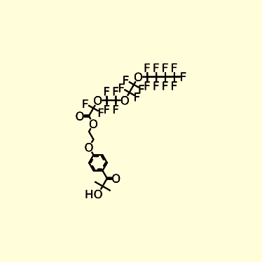 CC(C)(O)C(=O)c1ccc(OCCOC(=O)C(F)(F)OC(F)(F)C(F)(F)OC(F)(F)C(F)(F)OC(F)(F)C(F)(F)C(F)(F)C(F)(F)F)cc1